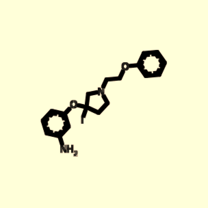 Nc1cccc(OC2(I)CCN(CCOc3ccccc3)C2)c1